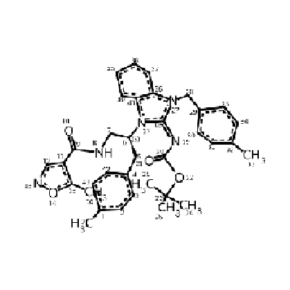 Cc1ccc(C[C@@H](CNC(=O)c2cnoc2C)n2c(=NC(=O)OC(C)(C)C)n(Cc3ccc(C)cc3)c3ccccc32)cc1